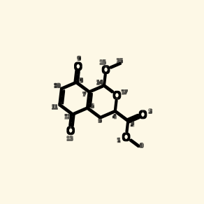 COC(=O)C1CC2=C(C(=O)C=CC2=O)C(OC)O1